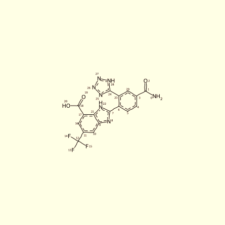 NC(=O)c1ccc(-c2nc3cc(C(F)(F)F)cc(C(=O)O)c3[nH]2)c(-c2nnn[nH]2)c1